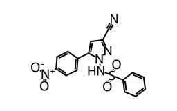 N#Cc1cc(-c2ccc([N+](=O)[O-])cc2)n(NS(=O)(=O)c2ccccc2)n1